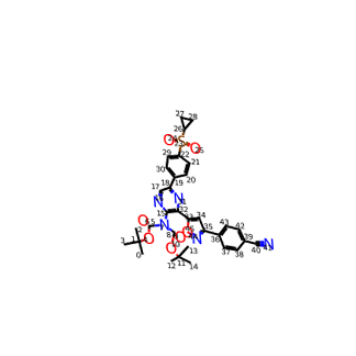 CC(C)(C)OC(=O)N(C(=O)OC(C)(C)C)c1ncc(-c2ccc(S(=O)(=O)C3CC3)cc2)nc1-c1cc(-c2ccc(C#N)cc2)no1